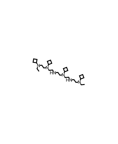 CCN(CCNCCN(CCNCCN(CCN(CC)C1CCC1)C1CCC1)C1CCC1)C1CCC1